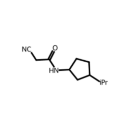 CC(C)C1CCC(NC(=O)CC#N)C1